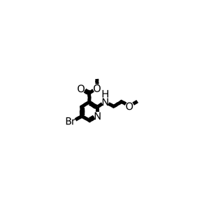 COCCNc1ncc(Br)cc1C(=O)OC